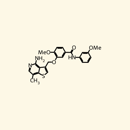 COc1cccc(NC(=O)c2ccc(OC)c(OCc3csc4c(C)cnc(N)c34)c2)c1